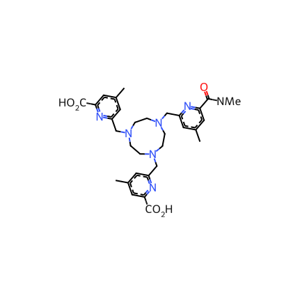 CNC(=O)c1cc(C)cc(CN2CCN(Cc3cc(C)cc(C(=O)O)n3)CCN(Cc3cc(C)cc(C(=O)O)n3)CC2)n1